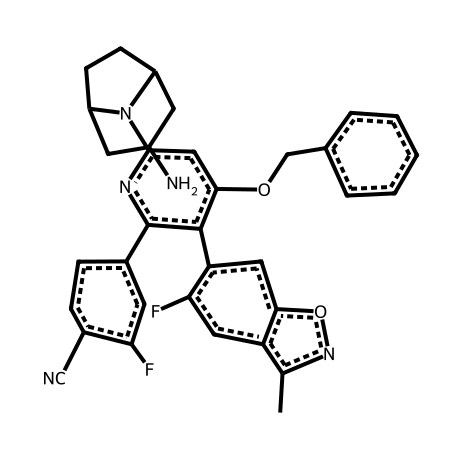 Cc1noc2cc(-c3c(OCc4ccccc4)cc(N4C5CCC4CC(N)C5)nc3-c3ccc(C#N)c(F)c3)c(F)cc12